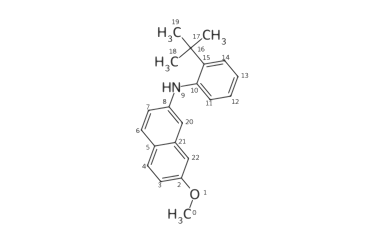 COc1ccc2ccc(Nc3ccccc3C(C)(C)C)cc2c1